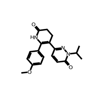 COc1ccc(C2=C(c3ccc(=O)n(C(C)C)n3)CCC(=O)N2)cc1